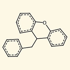 c1ccc(CC2c3ccccc3Oc3ccccc32)cc1